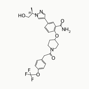 C[C@H](CO)n1cc(-c2ccc(OC3CCN(C(=O)Cc4ccc(OC(F)(F)F)cc4)CC3)c(C(N)=O)c2)cn1